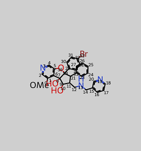 COc1cncc2c1C1(O)C(O)C(CNCc3cccnc3)C(c3ccccc3)C1(c1ccc(Br)cc1)O2